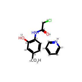 O=C(CCl)Nc1ccc(C(=O)O)cc1O.c1ccncc1